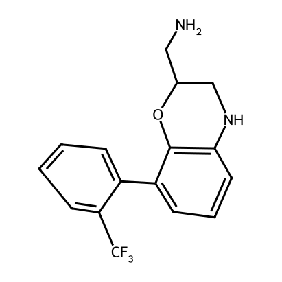 NCC1CNc2cccc(-c3ccccc3C(F)(F)F)c2O1